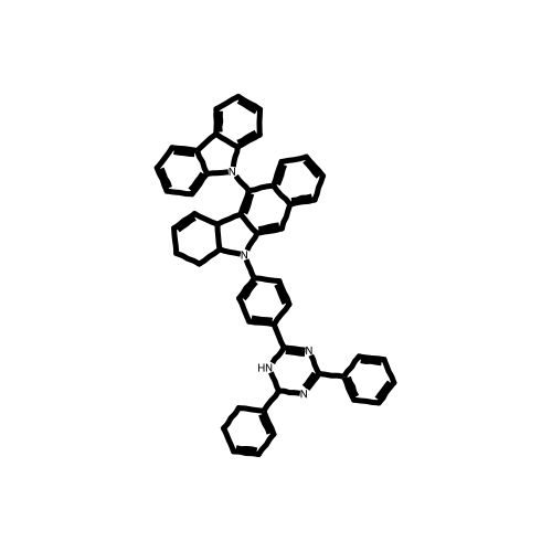 C1=CCCC(C2N=C(c3ccccc3)N=C(c3ccc(N4c5cc6ccccc6c(-n6c7ccccc7c7ccccc76)c5C5C=CCCC54)cc3)N2)=C1